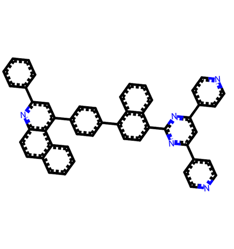 c1ccc(-c2cc(-c3ccc(-c4ccc(-c5nc(-c6ccncc6)cc(-c6ccncc6)n5)c5ccccc45)cc3)c3c(ccc4ccccc43)n2)cc1